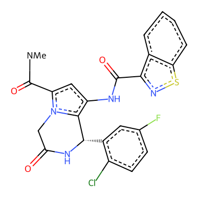 CNC(=O)c1cc(NC(=O)c2nsc3ccccc23)c2n1CC(=O)N[C@H]2c1cc(F)ccc1Cl